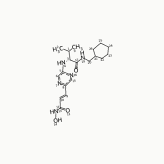 CC(C)[C@@H](Nc1cnc(/C=C/C(=O)NO)cn1)C(=O)NCC1CCCCC1